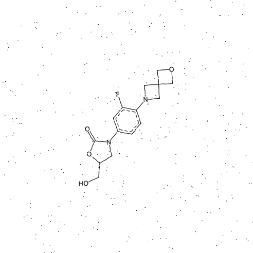 O=C1OC(CO)CN1c1ccc(N2CC3(COC3)C2)c(F)c1